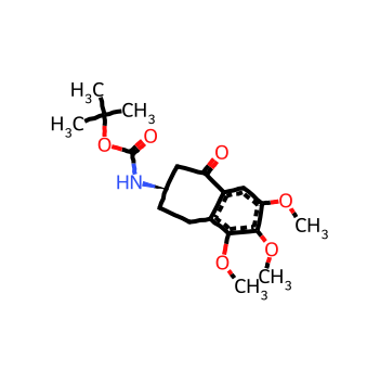 COc1cc2c(c(OC)c1OC)CC[C@@H](NC(=O)OC(C)(C)C)CC2=O